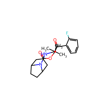 CC(C)(C)OC(=O)N1C2CCC1CC(NCC(=O)c1ccccc1F)C2